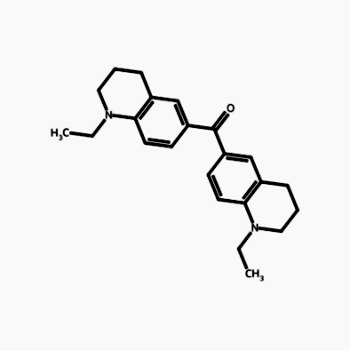 CCN1CCCc2cc(C(=O)c3ccc4c(c3)CCCN4CC)ccc21